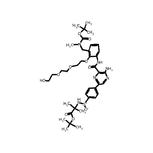 CN(Cc1cccc(NC(=O)c2nc(-c3ccc([S+]([O-])NC(C)(C)C(=O)OC(C)(C)C)cc3)cnc2N)c1OCCOCCOCCO)C(=O)OC(C)(C)C